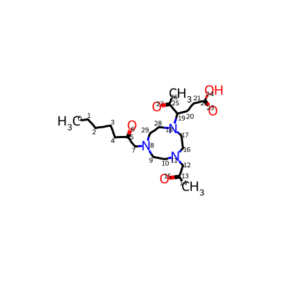 CCCCCC(=O)CN1CCN(CC(C)=O)CCN(C(CCC(=O)O)C(C)=O)CC1